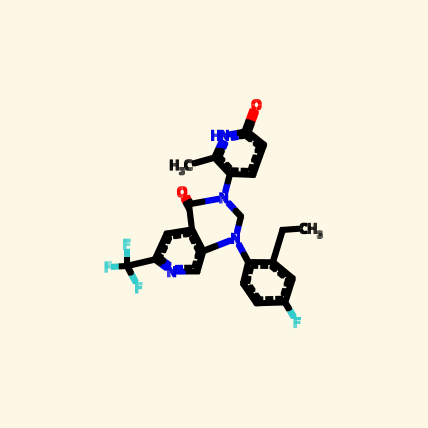 CCc1cc(F)ccc1N1CN(c2ccc(=O)[nH]c2C)C(=O)c2cc(C(F)(F)F)ncc21